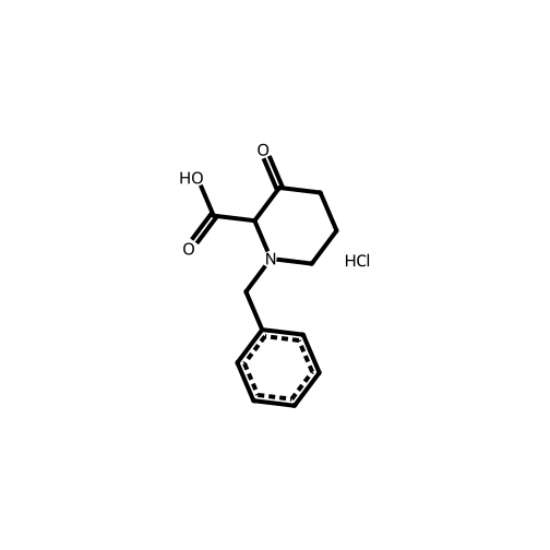 Cl.O=C(O)C1C(=O)CCCN1Cc1ccccc1